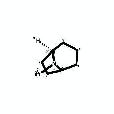 CC(C)N1C2CCC[C@@H]1CC2